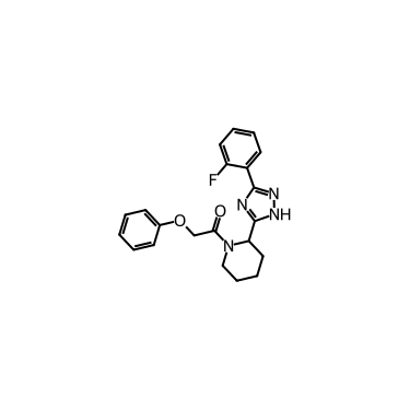 O=C(COc1ccccc1)N1CCCCC1c1nc(-c2ccccc2F)n[nH]1